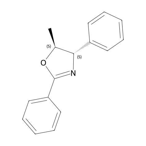 C[C@@H]1OC(c2ccccc2)=N[C@H]1c1ccccc1